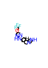 FC(F)(F)COc1cnc(Nc2ccc3c(c2)CCN2CCNC[C@@H]32)nc1